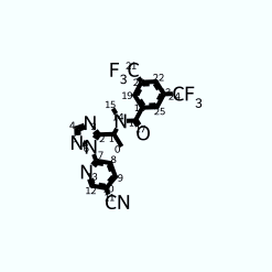 CC(c1ncnn1-c1ccc(C#N)cn1)N(C)C(=O)c1cc(C(F)(F)F)cc(C(F)(F)F)c1